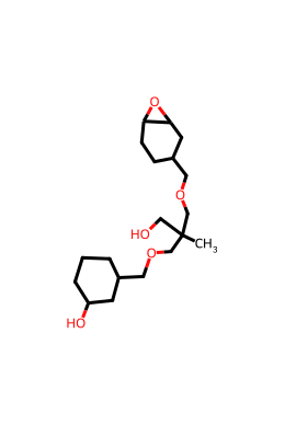 CC(CO)(COCC1CCCC(O)C1)COCC1CCC2OC2C1